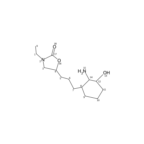 CCN1CC(CCCC2CCCC(O)C2N)OC1=O